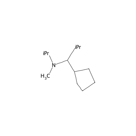 CC(C)C(C1CCCC1)N(C)C(C)C